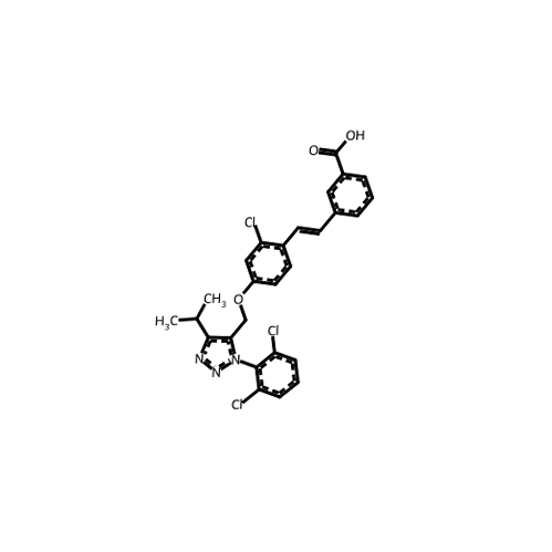 CC(C)c1nnn(-c2c(Cl)cccc2Cl)c1COc1ccc(C=Cc2cccc(C(=O)O)c2)c(Cl)c1